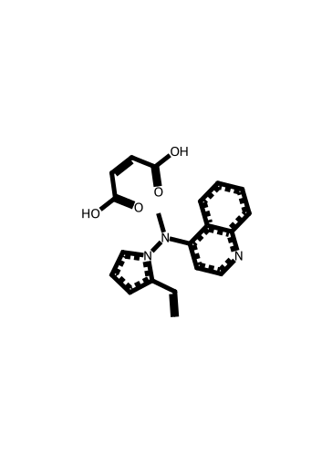 C=Cc1cccn1N(C)c1ccnc2ccccc12.O=C(O)/C=C\C(=O)O